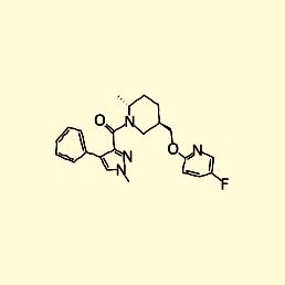 C[C@@H]1CC[C@@H](COc2ccc(F)cn2)CN1C(=O)c1nn(C)cc1-c1ccccc1